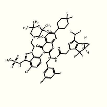 CC1(C)CN(CCn2nc(NS(C)(=O)=O)c3c(Cl)ccc(-n4c([C@H](Cc5cc(F)cc(F)c5)NC(=O)Cn5nc(C(F)F)c6c5C(F)(F)[C@@H]5C[C@H]65)nc5nc(C6CCC(F)(F)CC6)cc(C=O)c5c4=O)c32)CC(C)(C)O1